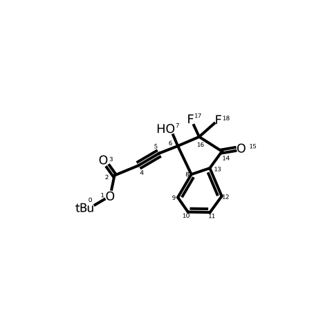 CC(C)(C)OC(=O)C#CC1(O)c2ccccc2C(=O)C1(F)F